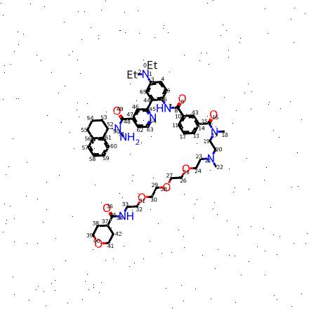 CCN(CC)c1ccc(NC(=O)c2cccc(C(=O)N(C)CCN(C)CCOCCOCCOCCNC(=O)C3CCOCC3)c2)c(-c2cc(C(=O)N(N)[C@H]3CCCc4ccccc43)ccn2)c1